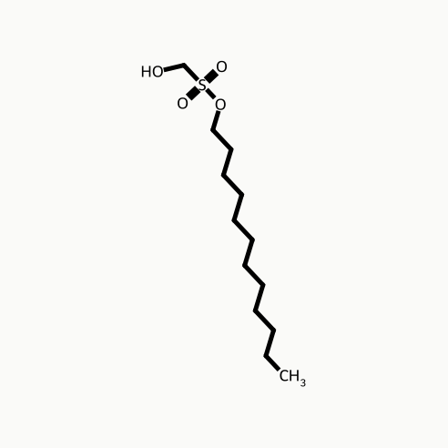 CCCCCCCCCCCCOS(=O)(=O)CO